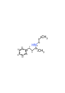 CCCNC(C)CCc1ccccc1